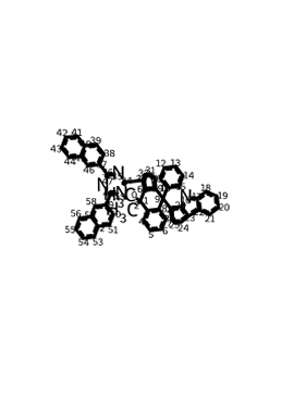 CC1(C)c2ccccc2C2(c3ccccc3-n3c4ccccc4c4cccc2c43)c2cccc(-c3nc(-c4ccc5ccccc5c4)nc(-c4ccc5ccccc5c4)n3)c21